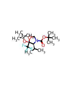 CC(C)[C@@H]1N(C(=O)OC(C)(C)C)CO[C@@]1(O[Si](C)(C)C)C(F)(F)F